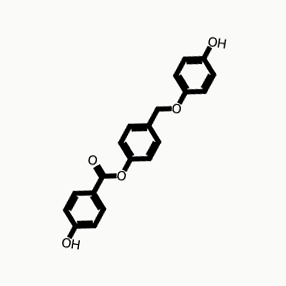 O=C(Oc1ccc(COc2ccc(O)cc2)cc1)c1ccc(O)cc1